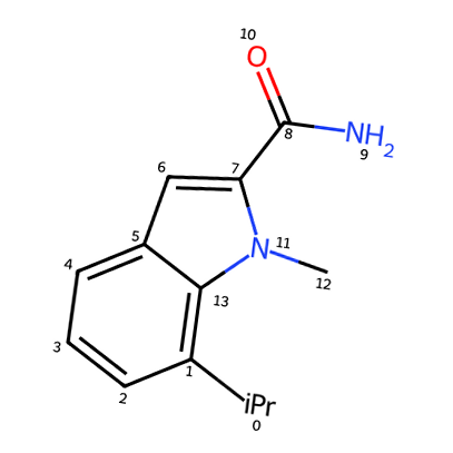 CC(C)c1cccc2cc(C(N)=O)n(C)c12